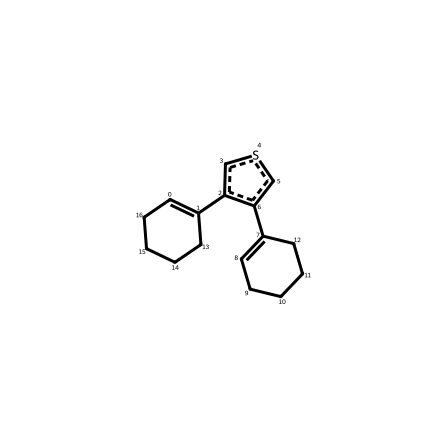 C1=C(c2cscc2C2=CCCCC2)CCCC1